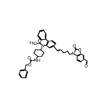 O=Cc1ccc2c(c1)oc(=O)n2CCC/C=C/c1ccc(-c2ccccc2)c(N(C(=O)O)C2CCC(NC(=O)OCc3ccccc3)CC2)c1